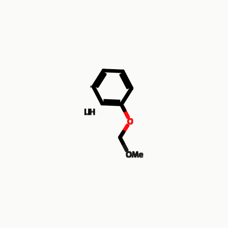 COCOc1c[c]ccc1.[LiH]